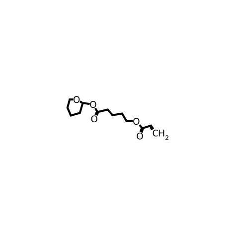 C=CC(=O)OCCCCC(=O)OC1CCCCO1